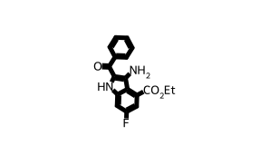 CCOC(=O)c1cc(F)cc2[nH]c(C(=O)c3ccccc3)c(N)c12